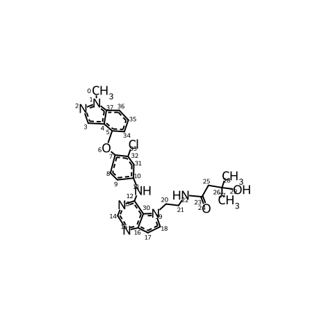 Cn1ncc2c(Oc3ccc(Nc4ncnc5ccn(CCNC(=O)CC(C)(C)O)c45)cc3Cl)cccc21